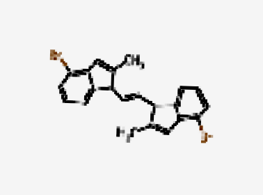 CC1=Cc2c(Br)cccc2C1C=CC1C(C)=Cc2c(Br)cccc21